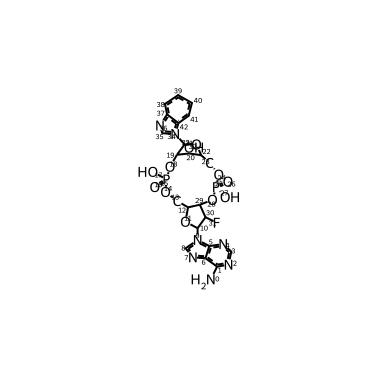 Nc1ncnc2c1ncn2C1OC2COP(=O)(O)OC3C(O)C(COP(=O)(O)OC2C1F)OC3n1cnc2ccccc21